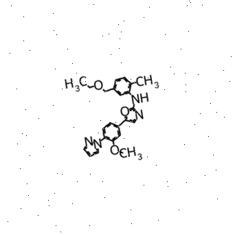 CCOCc1ccc(C)c(Nc2ncc(-c3ccc(-n4cccn4)c(OC)c3)o2)c1